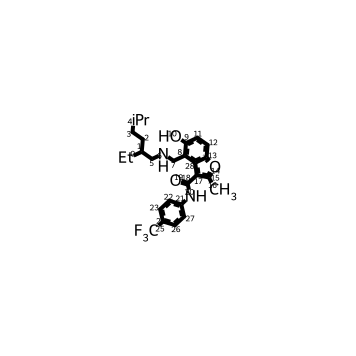 CCC(CCC(C)C)CNCc1c(O)ccc2oc(C)c(C(=O)Nc3ccc(C(F)(F)F)cc3)c12